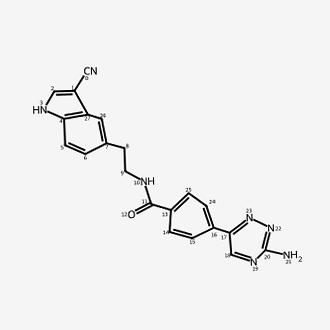 N#Cc1c[nH]c2ccc(CCNC(=O)c3ccc(-c4cnc(N)nn4)cc3)cc12